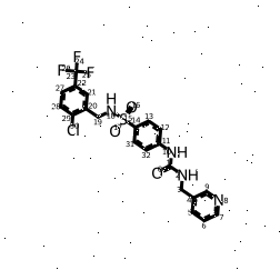 O=C(NCc1cccnc1)Nc1ccc(S(=O)(=O)NCc2cc(C(F)(F)F)ccc2Cl)cc1